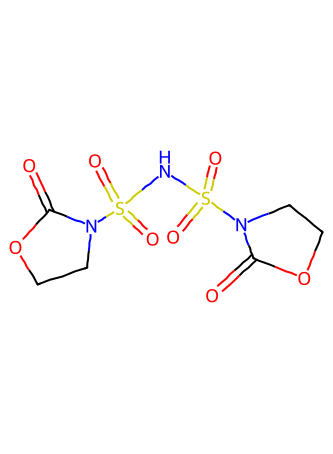 O=C1OCCN1S(=O)(=O)NS(=O)(=O)N1CCOC1=O